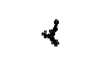 CCNC(=O)Nc1ccc(-c2nn(C(=O)NCC)cc2-c2ccnc(Nc3cccc(CCN4CCOCC4)c3)n2)cc1